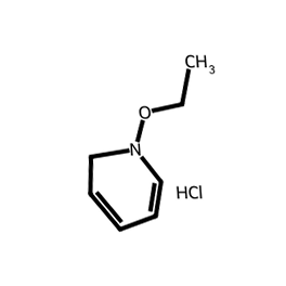 CCON1C=CC=CC1.Cl